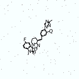 COc1cc(/C=C2\CCCN3C2=NOC32C(=O)N(C)c3ccc(F)cc32)ccc1-n1cnc(C)n1